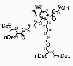 CCCCCCCCCCCCC(CCCCCCCCCC)COCCCCCCN(CCCCCCOC(=O)C(CCCCCCCCCC)CCCCCCCCCCCC)C(Cc1cccnc1)C(=O)OCCO